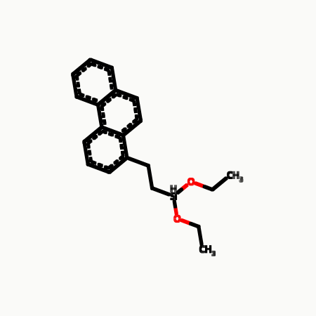 CCO[SiH](CCc1cccc2c1ccc1ccccc12)OCC